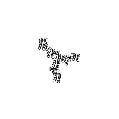 O=P([O][Mo](=[O])(=[O])[O][Mo](=[O])(=[O])[O][Mo](=[O])(=[O])[O][Mo](=[O])(=[O])[O-])([O][Mo](=[O])(=[O])[O][Mo](=[O])(=[O])[O][Mo](=[O])(=[O])[O][Mo](=[O])(=[O])[O-])[O][Mo](=[O])(=[O])[O][Mo](=[O])(=[O])[O][Mo](=[O])(=[O])[O][Mo](=[O])(=[O])[O-].[Ag+].[NH4+]